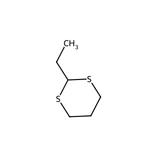 CCC1SCCCS1